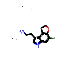 NCCc1c[nH]c2cc(F)c3c(c12)CCO3